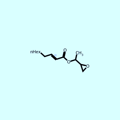 CCCCCCC/C=C/C(=O)OC(C)C1CO1